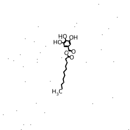 CCCCCCCCCCCC(=O)OC(=O)c1cc(O)c(O)c(O)c1